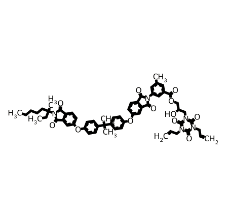 C=CCn1c(=O)n(CC=C)c(=O)n(CC(O)COC(=O)c2cc(C)cc(N3C(=O)c4ccc(Oc5ccc(C(C)(C)c6ccc(Oc7ccc8c(c7)C(=O)N(C(C)(CC)CCCCC)C8=O)cc6)cc5)cc4C3=O)c2)c1=O